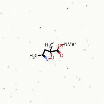 CNOC(=O)C1(C)CC(C)=NO1